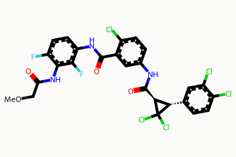 COCC(=O)Nc1c(F)ccc(NC(=O)c2cc(NC(=O)[C@H]3[C@H](c4ccc(Cl)c(Cl)c4)C3(Cl)Cl)ccc2Cl)c1F